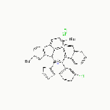 CC(C)(C)c1ccc2c(c1)[CH](/[Zr+2]([C]1=CC=CC1)=[C](/c1cccc(Cl)c1)c1cccc3ccccc13)c1cc(C(C)(C)C)ccc1-2.[Cl-].[Cl-]